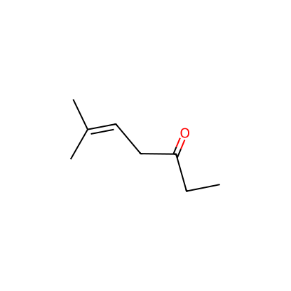 CCC(=O)CC=C(C)C